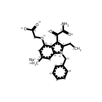 CCc1c(C(=O)C(N)=O)c2c(OCC(=O)[O-])cc(C)cc2n1Cc1ccccc1.[Na+]